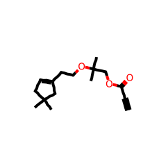 C#CC(=O)OCC(C)(C)OCCC1=CCC(C)(C)C1